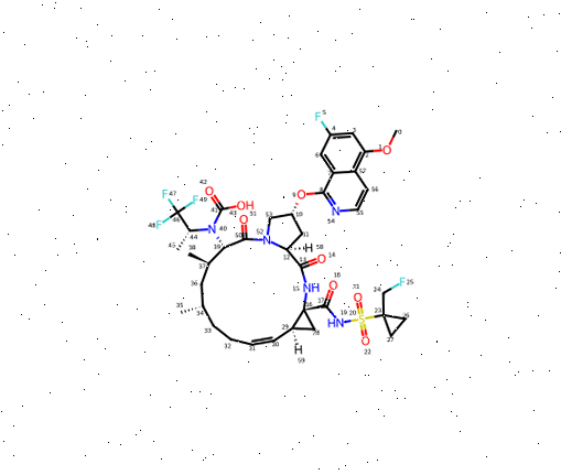 COc1cc(F)cc2c(O[C@@H]3C[C@H]4C(=O)N[C@]5(C(=O)NS(=O)(=O)C6(CF)CC6)C[C@H]5C=CCC[C@H](C)C[C@@H](C)[C@H](N(C(=O)O)[C@H](C)C(F)(F)F)C(=O)N4C3)nccc12